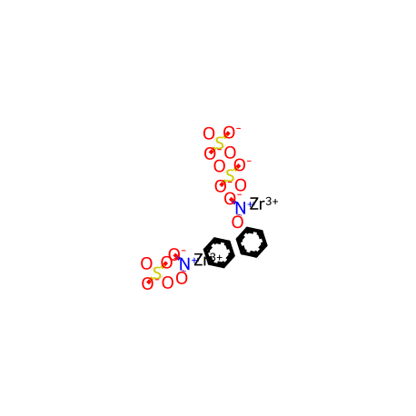 O=S(=O)([O-])[O-].O=S(=O)([O-])[O-].O=S(=O)([O-])[O-].O=[N+]([O-])[Zr+3].O=[N+]([O-])[Zr+3].c1ccccc1.c1ccccc1